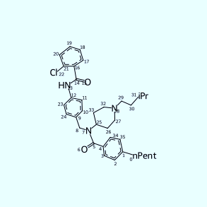 CCCCCc1ccc(C(=O)N(Cc2ccc(NC(=O)c3ccccc3Cl)cc2)C2CCN(CCC(C)C)CC2)cc1